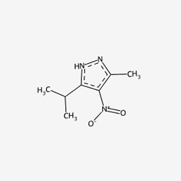 Cc1n[nH]c(C(C)C)c1[N+](=O)[O-]